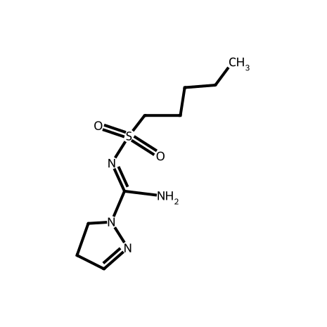 CCCCCS(=O)(=O)N=C(N)N1CCC=N1